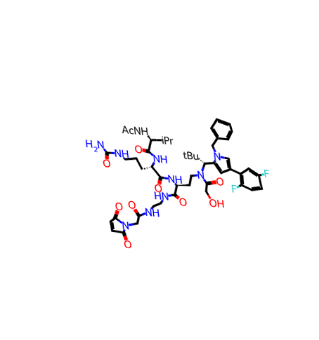 CC(=O)N[C@H](C(=O)N[C@@H](CCCNC(N)=O)C(=O)N[C@@H](CCN(C(=O)CO)[C@@H](c1cc(-c2cc(F)ccc2F)cn1Cc1ccccc1)C(C)(C)C)C(=O)NCCNC(=O)CN1C(=O)C=CC1=O)C(C)C